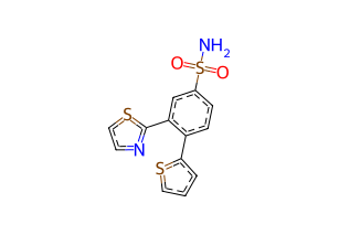 NS(=O)(=O)c1ccc(-c2cccs2)c(-c2nccs2)c1